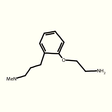 CNCCCc1ccccc1OCCN